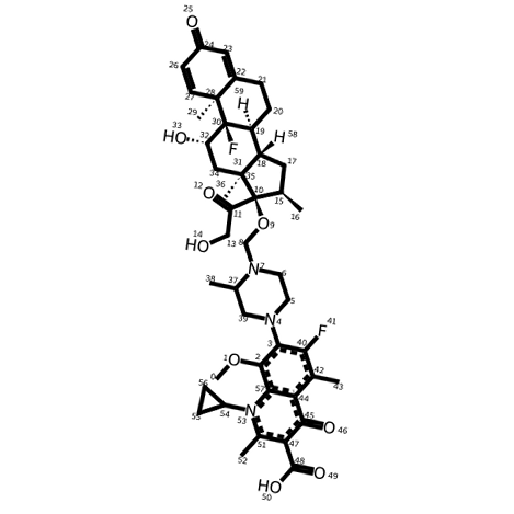 COc1c(N2CCN(CO[C@]3(C(=O)CO)[C@H](C)C[C@H]4[C@@H]5CCC6=CC(=O)C=C[C@]6(C)[C@@]5(F)[C@@H](O)C[C@@]43C)C(C)C2)c(F)c(C)c2c(=O)c(C(=O)O)c(C)n(C3CC3)c12